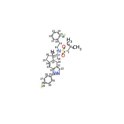 CC(C)CS(=O)(=O)N(CCc1ccccc1F)C1C[C@]23Cc4cnn(-c5ccc(F)cc5)c4C=C2CC[C@H]13